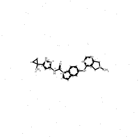 CN1Cc2ncnc(Oc3ccc4c(ccn4C(=O)Nc4cc(C5(C)CC5)[nH]n4)c3)c2C1